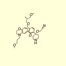 COCCCN1CCOc2ccc(CO[C@H]3CNCC[C@]3(OCC#N)c3ccc(COC[C@@H](C)COC)cc3)cc21